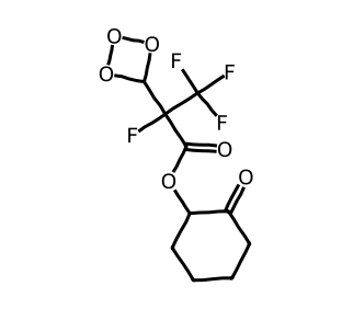 O=C1CCCCC1OC(=O)C(F)(C1OOO1)C(F)(F)F